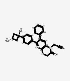 N#CCN1C(=O)COc2nc(-c3ccc([C@]4(N)C[C@H](O)C4)cc3)c(-c3ccccc3)cc21